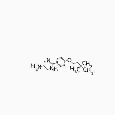 CC(C)(C)CCOc1ccc(C2=NCC(N)CN2)cc1